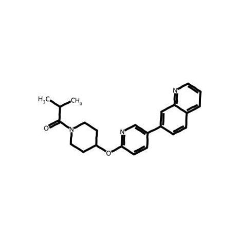 CC(C)C(=O)N1CCC(Oc2ccc(-c3ccc4cccnc4c3)cn2)CC1